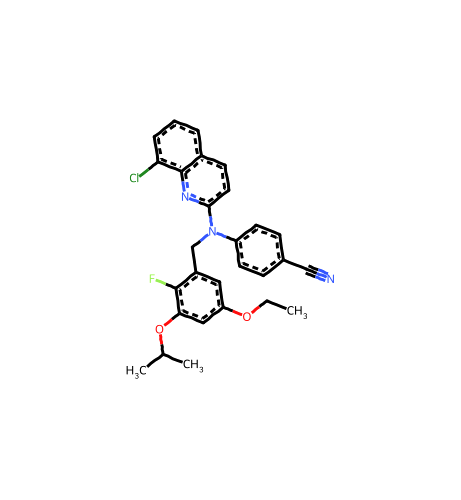 CCOc1cc(CN(c2ccc(C#N)cc2)c2ccc3cccc(Cl)c3n2)c(F)c(OC(C)C)c1